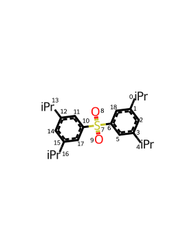 CC(C)c1cc(C(C)C)cc(S(=O)(=O)c2cc(C(C)C)cc(C(C)C)c2)c1